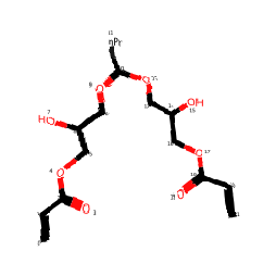 C=CC(=O)OCC(O)COC(CCC)OCC(O)COC(=O)C=C